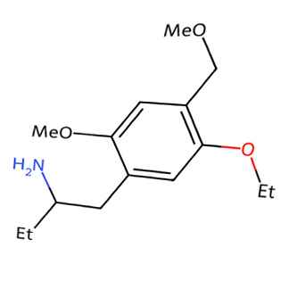 CCOc1cc(CC(N)CC)c(OC)cc1COC